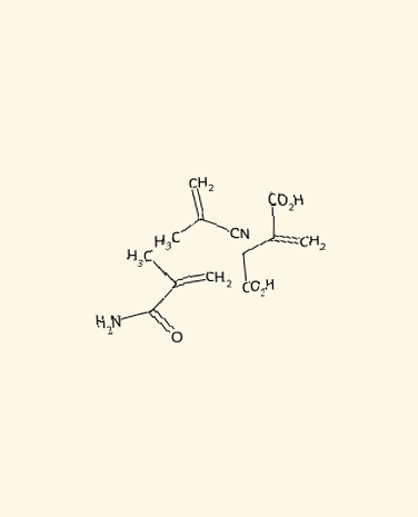 C=C(C)C#N.C=C(C)C(N)=O.C=C(CC(=O)O)C(=O)O